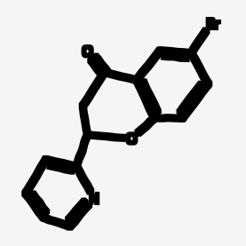 O=C1CC(c2ccccn2)Oc2ccc(Br)cc21